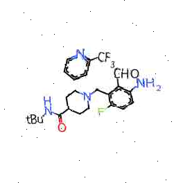 CC(C)(C)NC(=O)C1CCN(Cc2c(F)ccc(N)c2C=O)CC1.FC(F)(F)c1ccccn1